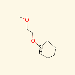 COCCO[SiH]1CCCCC1